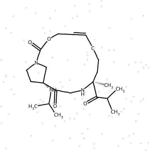 CC(C)N[C@]12CCN(C1)C(=O)OC/C=C\CCC[C@@](C)(C(=O)C(C)C)NCC2=O